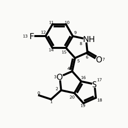 CCC1O/C(=C2/C(=O)Nc3ccc(F)cc32)c2sccc21